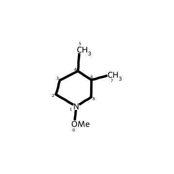 CON1CCC(C)C(C)C1